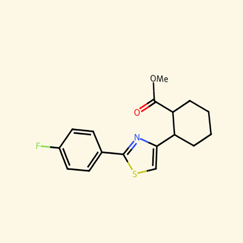 COC(=O)C1CCCCC1c1csc(-c2ccc(F)cc2)n1